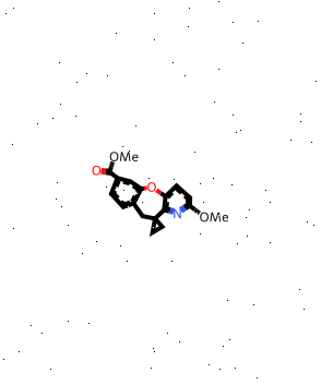 COC(=O)c1ccc2c(c1)Oc1ccc(OC)nc1C1(CC1)C2